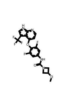 COC1CN(C(=O)Nc2cc(F)c(Oc3ccnc4[nH]cc(C(F)(F)F)c34)c(F)c2)C1